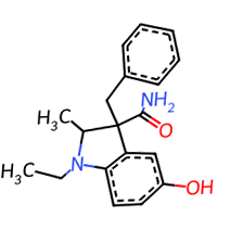 CCN1c2ccc(O)cc2C(Cc2ccccc2)(C(N)=O)C1C